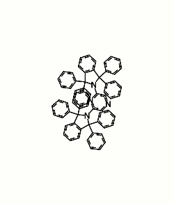 c1ccc(C2(c3ccccc3)c3ccccc3C(c3ccccc3)(c3ccccc3)N2c2cncc(N3C(c4ccccc4)(c4ccccc4)c4ccccc4C3(c3ccccc3)c3ccccc3)n2)cc1